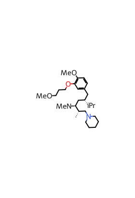 CN[C@@H](C[C@H](Cc1ccc(OC)c(OCCCOC)c1)C(C)C)[C@@H](C)CN1CCCCC1